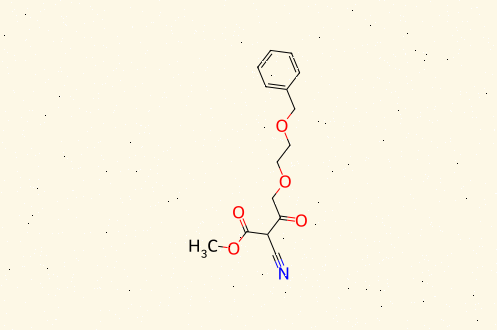 COC(=O)C(C#N)C(=O)COCCOCc1ccccc1